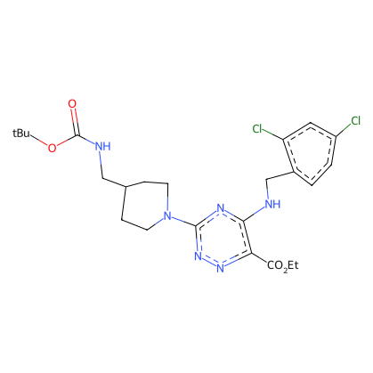 CCOC(=O)c1nnc(N2CCC(CNC(=O)OC(C)(C)C)CC2)nc1NCc1ccc(Cl)cc1Cl